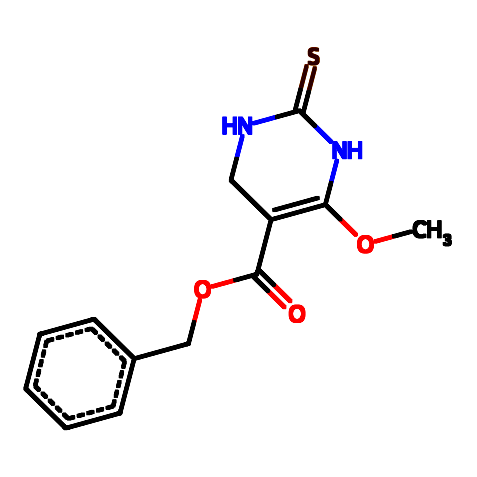 COC1=C(C(=O)OCc2ccccc2)CNC(=S)N1